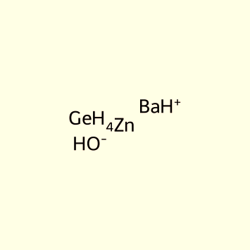 [BaH+].[GeH4].[OH-].[Zn]